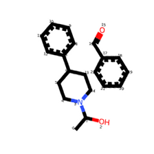 CC(O)N1CCC(c2ccccc2)CC1.O=Cc1ccccc1